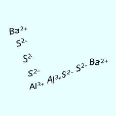 [Al+3].[Al+3].[Ba+2].[Ba+2].[S-2].[S-2].[S-2].[S-2].[S-2]